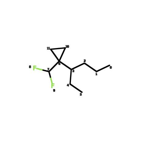 CCCC(CC)C1(C(F)F)CC1